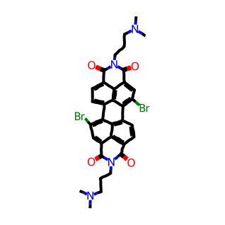 CN(C)CCCN1C(=O)c2ccc3c4c(Br)cc5c6c(ccc(c7c(Br)cc(c2c37)C1=O)c64)C(=O)N(CCCN(C)C)C5=O